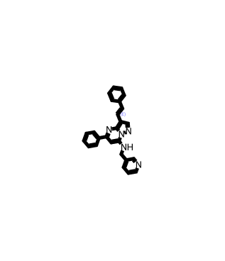 C(=C\c1cnn2c(NCc3cccnc3)cc(-c3ccccc3)nc12)/c1ccccc1